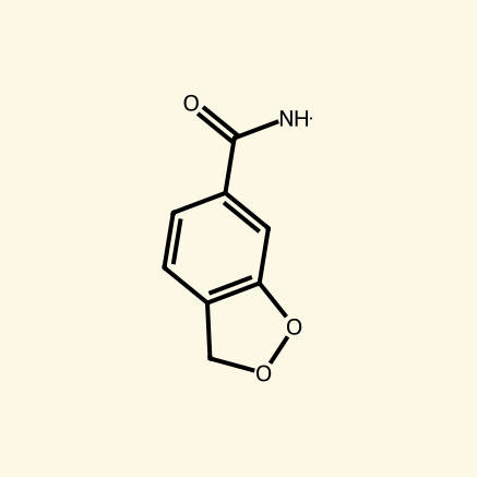 [NH]C(=O)c1ccc2c(c1)OOC2